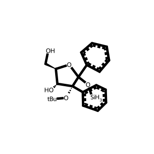 CC(C)(C)O[C@]1(c2ccccc2)[C@H](O)[C@@H](CO)OC1(O[SiH3])c1ccccc1